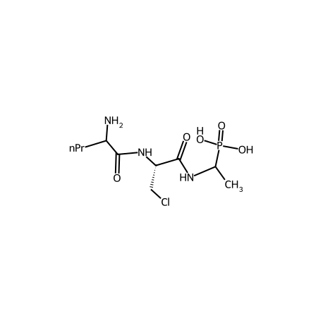 CCCC(N)C(=O)N[C@@H](CCl)C(=O)NC(C)P(=O)(O)O